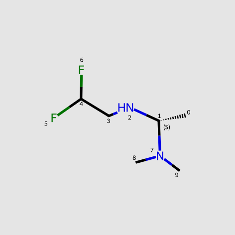 C[C@@H](NCC(F)F)N(C)C